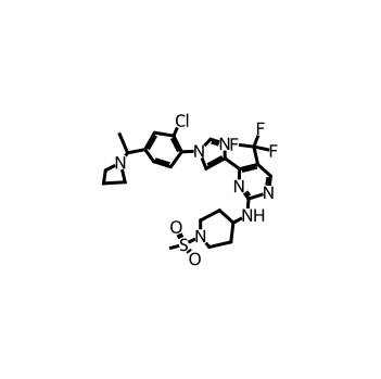 CC(c1ccc(-n2cnc(-c3nc(NC4CCN(S(C)(=O)=O)CC4)ncc3C(F)(F)F)c2)c(Cl)c1)N1CCC1